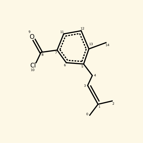 CC(C)=CCc1cc(C(=O)Cl)ccc1C